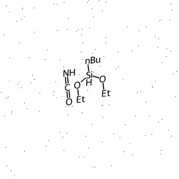 CCCC[SiH](OCC)OCC.N=C=O